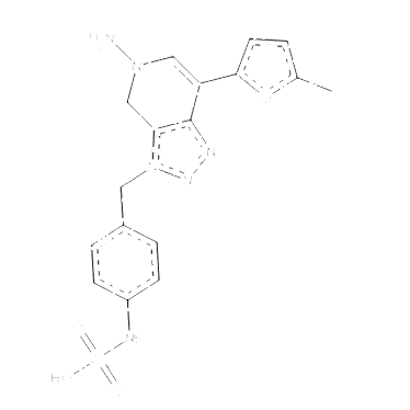 Cc1ccc(C2=CN(N)Cc3c2nnn3Cc2ccc(NS(=O)(=O)O)cc2)o1